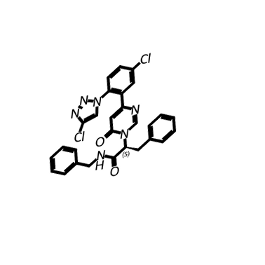 O=C(NCc1ccccc1)[C@H](Cc1ccccc1)n1cnc(-c2cc(Cl)ccc2-n2cc(Cl)nn2)cc1=O